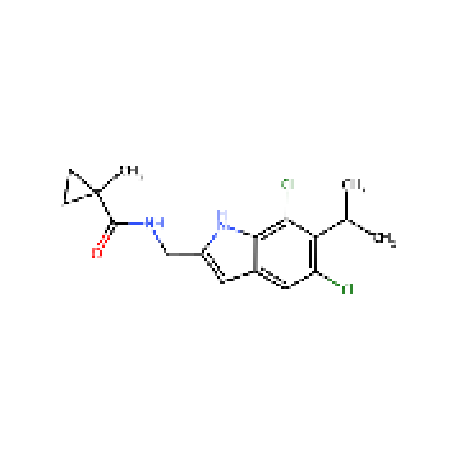 CC(C)c1c(Cl)cc2cc(CNC(=O)C3(C)CC3)[nH]c2c1Cl